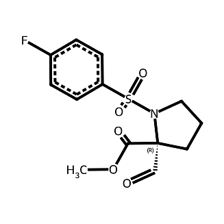 COC(=O)[C@]1(C=O)CCCN1S(=O)(=O)c1ccc(F)cc1